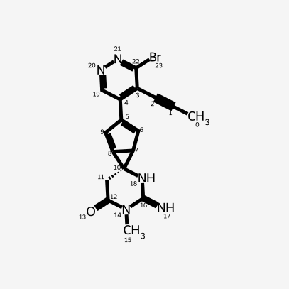 CC#Cc1c(C2=CC3C(=C2)[C@@]32CC(=O)N(C)C(=N)N2)cnnc1Br